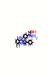 CCc1cccc(C(Nc2ccc(/C(N)=N/O)cc2)c2nc(-c3ccccc3)n[nH]2)c1